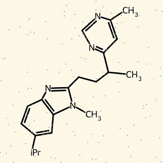 Cc1cc(C(C)CCc2nc3ccc(C(C)C)cc3n2C)ncn1